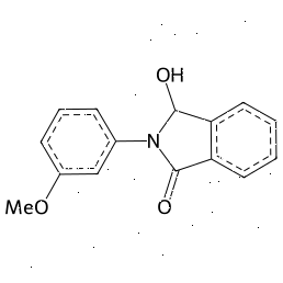 COc1cccc(N2C(=O)c3ccccc3C2O)c1